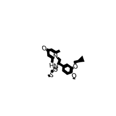 COc1ccc(C(Cn2c(C)cc(=O)cc2C)NOCSC)cc1OCC1CC1